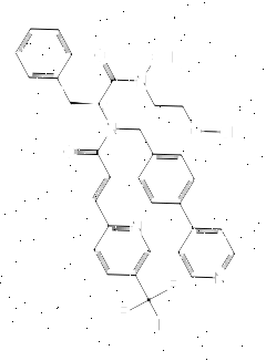 COCCN(C)C(=O)[C@H](Cc1ccccc1)N(Cc1ccc(-c2ccncc2)cc1)C(=O)C=Cc1ccc(C(F)(F)F)cn1